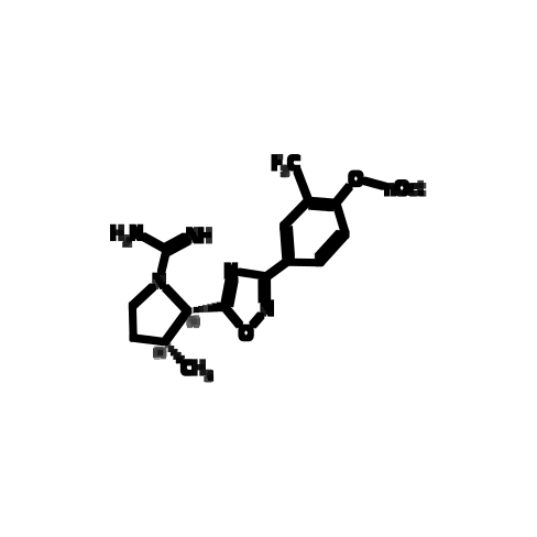 CCCCCCCCOc1ccc(-c2noc([C@@H]3[C@H](C)CCN3C(=N)N)n2)cc1C(F)(F)F